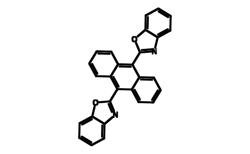 c1ccc2oc(-c3c4ccccc4c(-c4nc5ccccc5o4)c4ccccc34)nc2c1